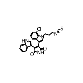 O=C1NC(=O)C(c2cn(CCCN=C=S)c3c(Cl)cccc23)=C1c1c[nH]c2ccccc12